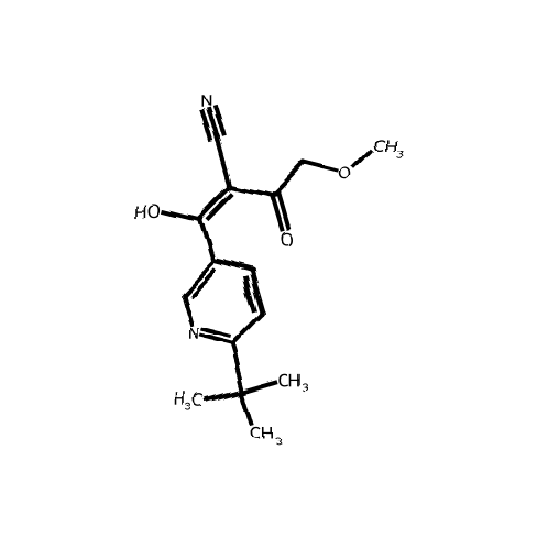 COCC(=O)C(C#N)=C(O)c1ccc(C(C)(C)C)nc1